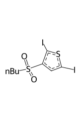 CCCCS(=O)(=O)c1cc(I)sc1I